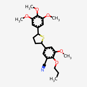 CCCOc1c(C#N)cc(C2CCC(c3cc(OC)c(OC)c(OC)c3)S2)cc1OC